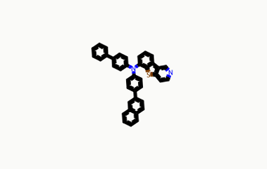 c1ccc(-c2ccc(N(c3ccc(-c4ccc5ccccc5c4)cc3)c3cccc4c3sc3ccncc34)cc2)cc1